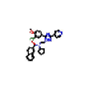 COc1ccc(-c2nc(-c3ccncc3)nn2CCN(C(=O)c2ccc3ccccc3c2)C2CCCC2)cc1Cl